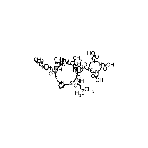 C=NC(=O)CN1CCC(NC(=O)[C@@H]2CSCc3cccc(n3)CSC[C@@H](NC(=O)CCC(C)C)C(=O)NC3(CCN(C(=O)CN4CCN(CC(=O)O)CCN(CC(=O)O)CCN(CC(=O)O)CC4)CC3)C(=O)NC(CC(C)C)C(=O)N[C@@H]([C@@H](C)CC)C(=O)N2)CC1